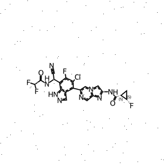 N#CC(NC(=O)C(F)F)c1c(F)c(Cl)c(-c2cn3cc(NC(=O)[C@@H]4C[C@@H]4F)nc3cn2)c2cn[nH]c12